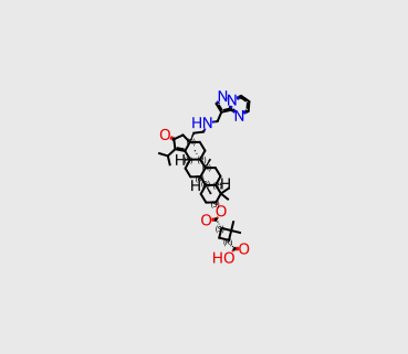 CC(C)C1=C2[C@H]3CC[C@@H]4[C@@]5(C)CC[C@H](OC(=O)[C@H]6C[C@@H](C(=O)O)C6(C)C)C(C)(C)[C@@H]5CC[C@@]4(C)[C@]3(C)CC[C@@]2(CCNCc2cnn3cccnc23)CC1=O